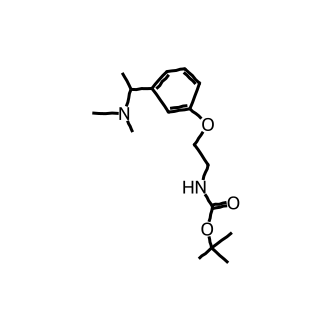 CC(c1cccc(OCCNC(=O)OC(C)(C)C)c1)N(C)C